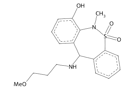 COCCCNC1c2ccccc2S(=O)(=O)N(C)c2c(O)cccc21